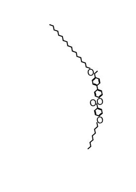 CCCCCCCCCCCCCCCCCCOC(C)c1ccc(-c2ccc(OC(=O)c3ccc(OCCCCCCCCC)cc3)cc2)cc1